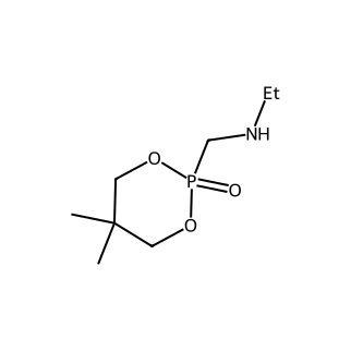 CCNCP1(=O)OCC(C)(C)CO1